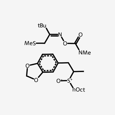 CCCCCCCC[S+]([O-])C(C)Cc1ccc2c(c1)OCO2.CNC(=O)ON=C(CSC)C(C)(C)C